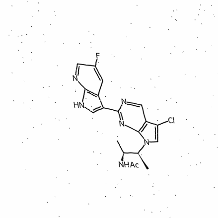 CC(=O)N[C@@H](C)[C@H](C)n1cc(Cl)c2cnc(-c3c[nH]c4ncc(F)cc34)nc21